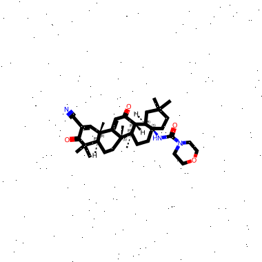 CC1(C)CC[C@]2(NC(=O)N3CCOCC3)CC[C@]3(C)[C@H](C(=O)C=C4[C@@]5(C)C=C(C#N)C(=O)C(C)(C)[C@@H]5CC[C@]43C)[C@H]2C1